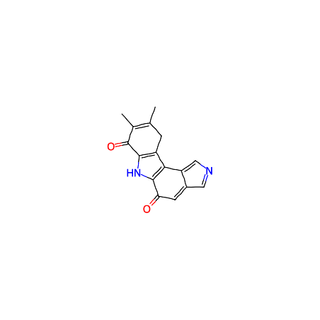 CC1=C(C)C(=O)c2[nH]c3c(c2C1)C1=CN=CC1=CC3=O